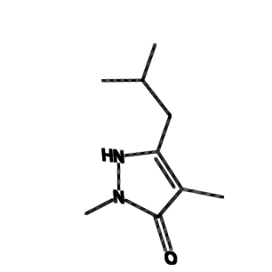 Cc1c(CC(C)C)[nH]n(C)c1=O